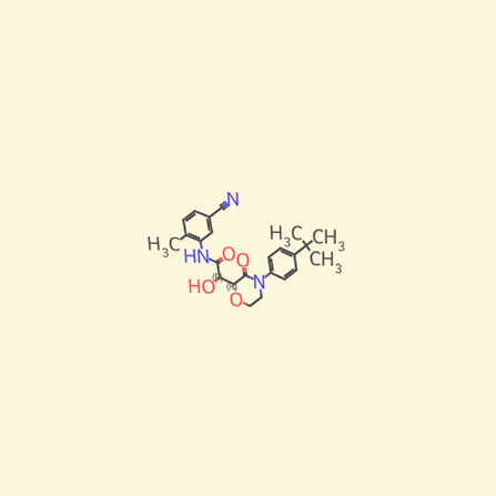 Cc1ccc(C#N)cc1NC(=O)[C@H](O)[C@H]1OCCN(c2ccc(C(C)(C)C)cc2)C1=O